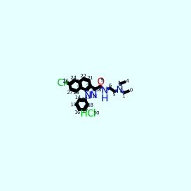 CCN(CC)CCNC(=O)c1nn(-c2ccccc2)c2c1ccc1cc(Cl)ccc12.Cl